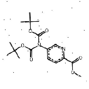 COC(=O)c1ccc(N(C(=O)OC(C)(C)C)C(=O)OC(C)(C)C)cn1